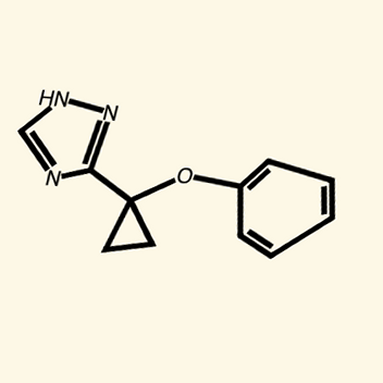 c1ccc(OC2(c3nc[nH]n3)CC2)cc1